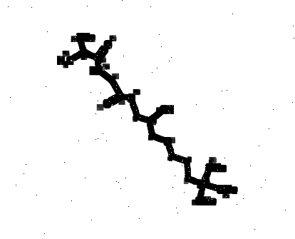 CO[Si](CCCOCC(O)COC(=O)CNC(=O)C(C)SC)(OC)OC